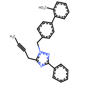 CC#CCc1nc(-c2ccccc2)nn1Cc1ccc(-c2ccccc2C(=O)O)cc1